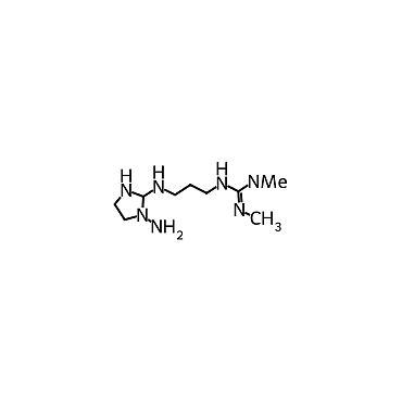 CN=C(NC)NCCCNC1NCCN1N